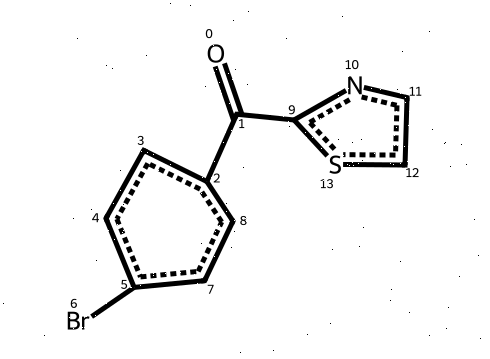 O=C(c1ccc(Br)cc1)c1nccs1